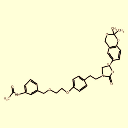 CC(=O)Nc1cccc(COCCOc2ccc(CCN3C[C@@H](c4ccc5c(c4)COC(C)(C)O5)OC3=O)cc2)c1